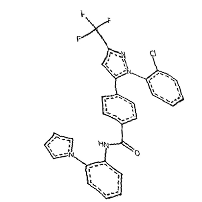 O=C(Nc1ccccc1-n1cccc1)c1ccc(-c2cc(C(F)(F)F)nn2-c2ccccc2Cl)cc1